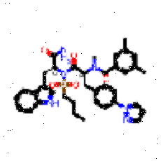 CCCCS(=O)(=O)N(C(=O)[C@H](Cc1ccc(-n2cccn2)cc1)N(C)C(=O)c1cc(C)cc(C)c1)[C@@H](Cc1c[nH]c2ccccc12)C(N)=O